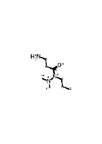 CCCN(C(=O)CCN)N(C)C